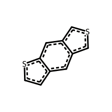 c1cc2cc3cscc3cc2s1